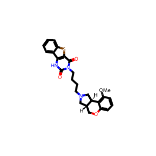 COc1cccc2c1[C@@H]1CN(CCCCn3c(=O)[nH]c4c(sc5ccccc54)c3=O)C[C@H]1CO2